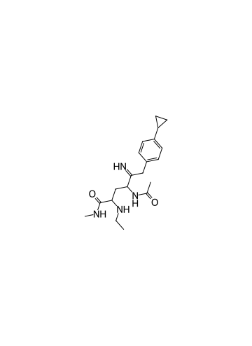 CCNC(CC(NC(C)=O)C(=N)Cc1ccc(C2CC2)cc1)C(=O)NC